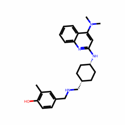 Cc1cc(CNC[C@H]2CC[C@@H](Nc3cc(N(C)C)c4ccccc4n3)CC2)ccc1O